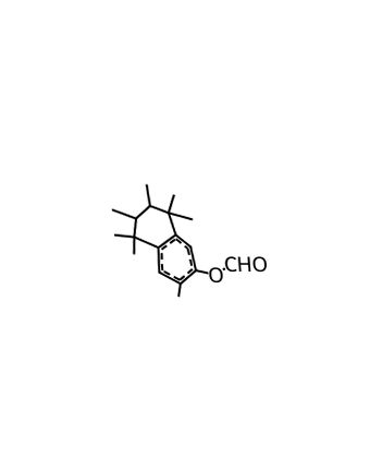 Cc1cc2c(cc1OC=O)C(C)(C)C(C)C(C)C2(C)C